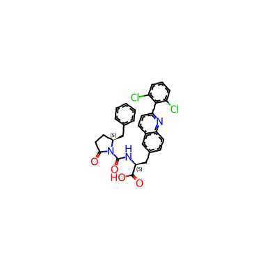 O=C(O)[C@H](Cc1ccc2nc(-c3c(Cl)cccc3Cl)ccc2c1)NC(=O)N1C(=O)CC[C@H]1Cc1ccccc1